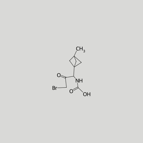 CC12CC(C(NC(=O)O)C(=O)CBr)(C1)C2